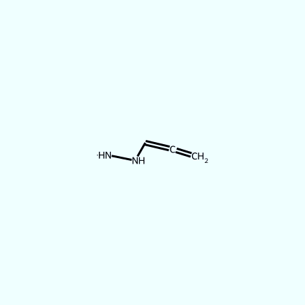 C=C=CN[NH]